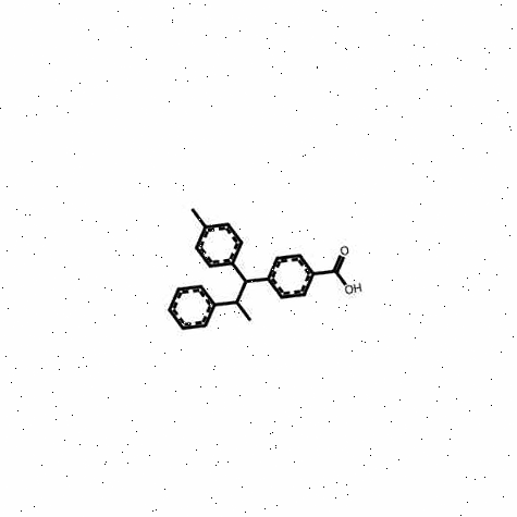 Cc1ccc(C(c2ccc(C(=O)O)cc2)C(C)c2ccccc2)cc1